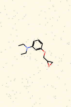 CCN(CC)c1cccc(OCC2CO2)c1